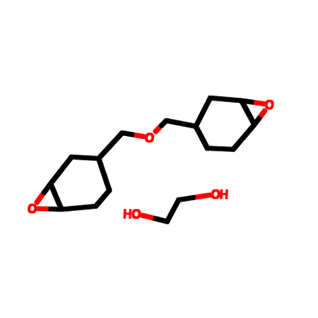 C1CC2OC2CC1COCC1CCC2OC2C1.OCCO